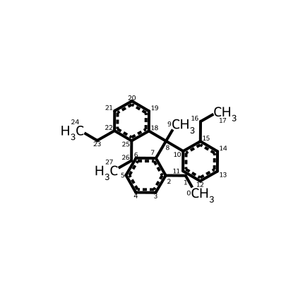 CCc1ccccc1C(C)(c1ccccc1CC)c1cccc(CC)c1CC